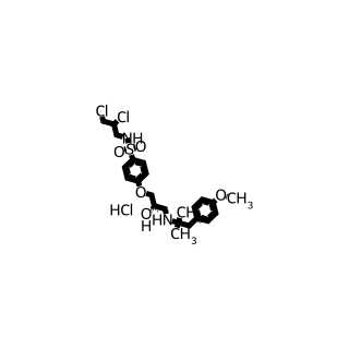 COc1ccc(CC(C)(C)NC[C@@H](O)COc2ccc(S(=O)(=O)NCC(Cl)CCl)cc2)cc1.Cl